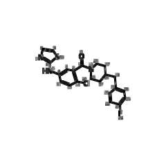 O=C(c1cc(Nc2nccs2)ccc1Cl)N1CCC(Cc2ccc(F)cc2)CC1